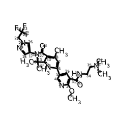 COc1ncc(-c2cc(C)c3c(n2)C(C)(C)N(c2cnn(CC(F)(F)F)c2)C3=O)cc1C(=O)NCCN(C)C